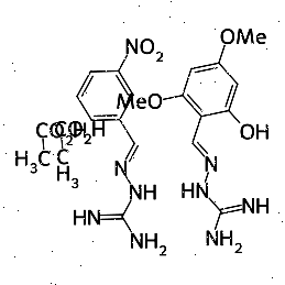 CC(=O)O.CC(=O)O.COc1cc(O)c(/C=N/NC(=N)N)c(OC)c1.N=C(N)N/N=C/c1cccc([N+](=O)[O-])c1